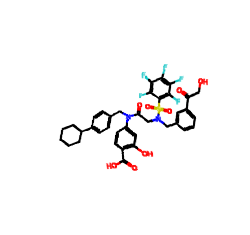 O=C(CO)c1cccc(CN(CC(=O)N(Cc2ccc(C3CCCCC3)cc2)c2ccc(C(=O)O)c(O)c2)S(=O)(=O)c2c(F)c(F)c(F)c(F)c2F)c1